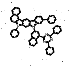 c1ccc(-c2ccc3c4cc5c6c7ccccc7ccc6n(-c6ccccc6)c5cc4n(-c4cc(-c5nc(-c6ccccc6)nc(-c6ccccc6)n5)c5ccccc5c4)c3c2)cc1